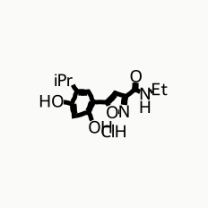 CCNC(=O)c1cc(-c2cc(C(C)C)c(O)cc2O)on1.Cl